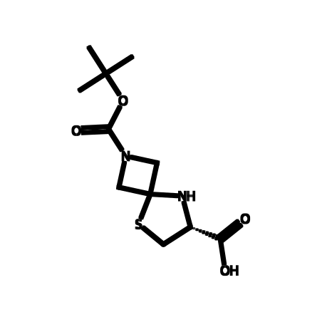 CC(C)(C)OC(=O)N1CC2(C1)N[C@H](C(=O)O)CS2